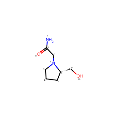 NC(=O)CN1CCC[C@H]1CO